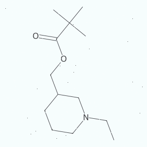 CCN1CCCC(COC(=O)C(C)(C)C)C1